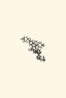 CN1CCC(Oc2ccc(C3=CNC(N)(c4ccnc(-c5cnn(CC(F)F)c5)n4)C=C3NC3CCC(F)CC3)nc2)CC1